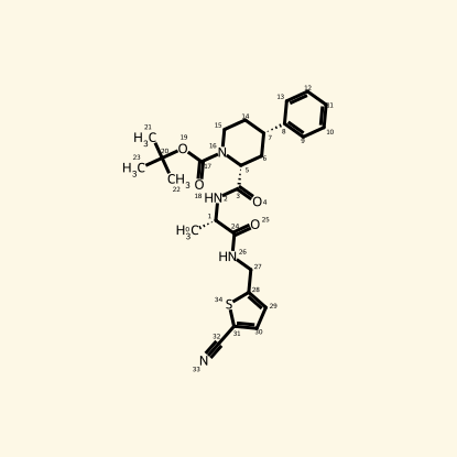 C[C@H](NC(=O)[C@H]1C[C@@H](c2ccccc2)CCN1C(=O)OC(C)(C)C)C(=O)NCc1ccc(C#N)s1